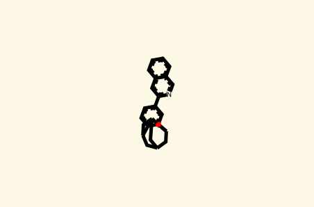 c1ccc2cc(-c3ccc4c(c3)C3CC5CC(CC4C5)C3)ncc2c1